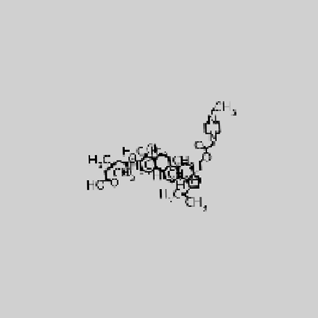 C=C(C)[C@@H]1CC[C@]2(CCOC(=O)CN3CCN(CC)CC3)CC[C@]3(C)[C@H](CC[C@@H]4[C@@]5(C)CC[C@H](OC(=O)CC(C)(C)CC(=O)O)C(C)(C)[C@@H]5CC[C@]43C)[C@@H]12